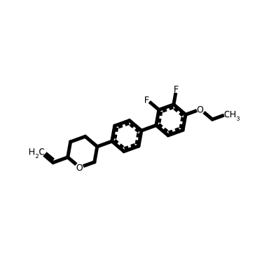 C=CC1CCC(c2ccc(-c3ccc(OCC)c(F)c3F)cc2)CO1